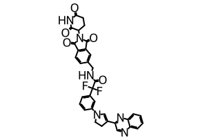 O=C1CCC(N2C(=O)c3ccc(CNC(=O)C(F)(F)c4cccc(N5C=C(c6cnc7ccccc7n6)CC5)c4)cc3C2=O)C(=O)N1